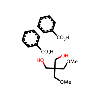 COCC(CO)(CO)COC.O=C(O)c1ccccc1.O=C(O)c1ccccc1